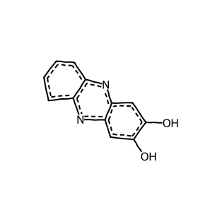 Oc1cc2nc3ccccc3nc2cc1O